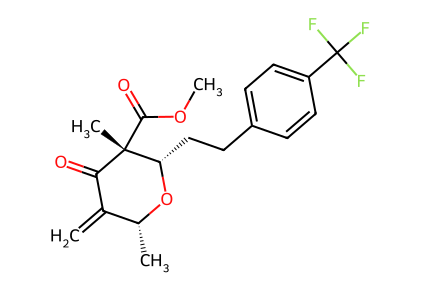 C=C1C(=O)[C@](C)(C(=O)OC)[C@H](CCc2ccc(C(F)(F)F)cc2)O[C@@H]1C